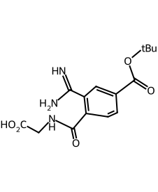 CC(C)(C)OC(=O)c1ccc(C(=O)NCC(=O)O)c(C(=N)N)c1